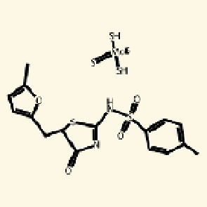 Cc1ccc(S(=O)(=O)NC2=NC(=O)C(Cc3ccc(C)o3)S2)cc1.[S]=[Mo](=[S])([SH])[SH]